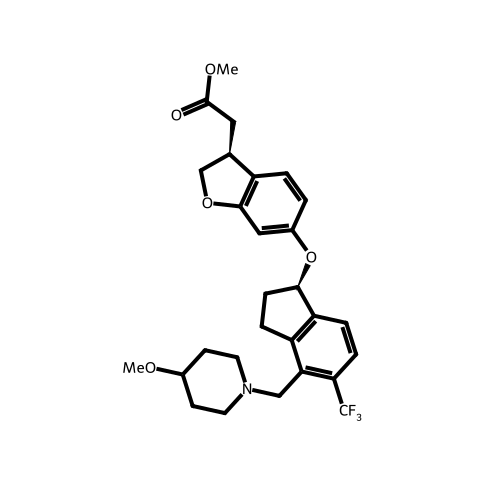 COC(=O)C[C@@H]1COc2cc(O[C@@H]3CCc4c3ccc(C(F)(F)F)c4CN3CCC(OC)CC3)ccc21